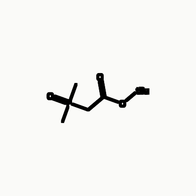 CC(C)(C)OC(=O)CP(C)(C)=O